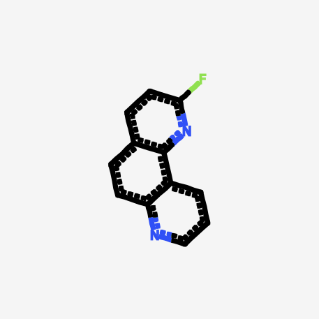 Fc1ccc2ccc3ncccc3c2n1